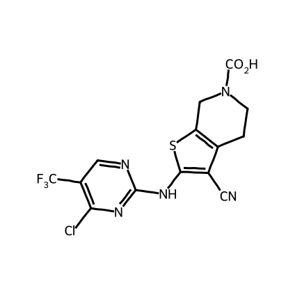 N#Cc1c(Nc2ncc(C(F)(F)F)c(Cl)n2)sc2c1CCN(C(=O)O)C2